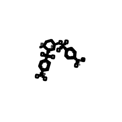 C[C@H]1CC[C@@H](OS(=O)(=O)c2ccc([N+](=O)[O-])cc2)CN1S(=O)(=O)c1ccc([N+](=O)[O-])cc1